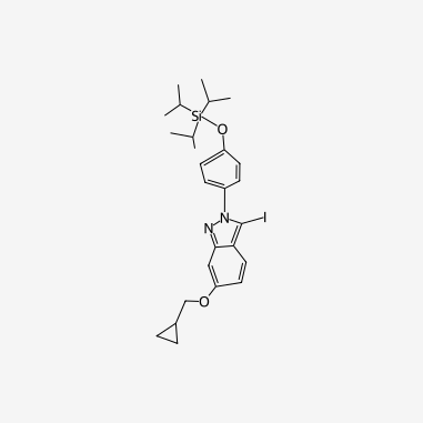 CC(C)[Si](Oc1ccc(-n2nc3cc(OCC4CC4)ccc3c2I)cc1)(C(C)C)C(C)C